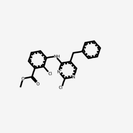 COC(=O)c1cccc(Nc2nc(Cl)ncc2Cc2ccccc2)c1Cl